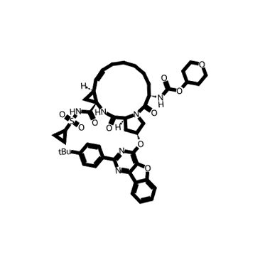 CC(C)(C)c1ccc(-c2nc(O[C@@H]3C[C@H]4C(=O)N[C@]5(C(=O)NS(=O)(=O)C6CC6)C[C@H]5/C=C\CCCCC[C@H](NC(=O)OC5CCOCC5)C(=O)N4C3)c3oc4ccccc4c3n2)cc1